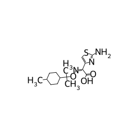 CC1CCC(C(C)(C)ON=C(C(=O)O)c2csc(N)n2)CC1